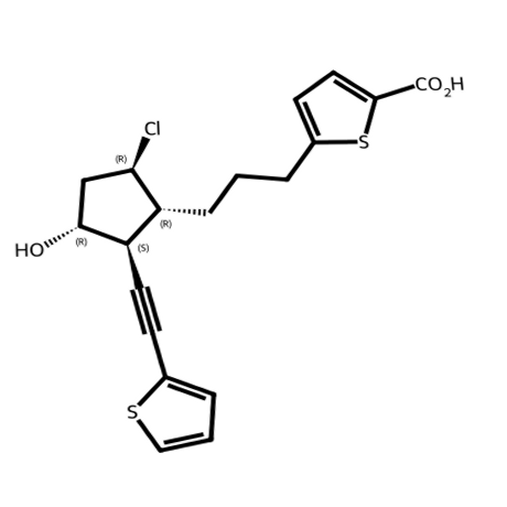 O=C(O)c1ccc(CCC[C@@H]2[C@@H](C#Cc3cccs3)[C@H](O)C[C@H]2Cl)s1